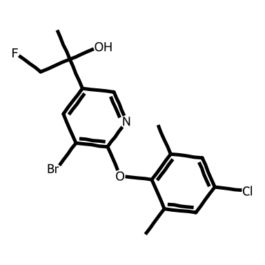 Cc1cc(Cl)cc(C)c1Oc1ncc(C(C)(O)CF)cc1Br